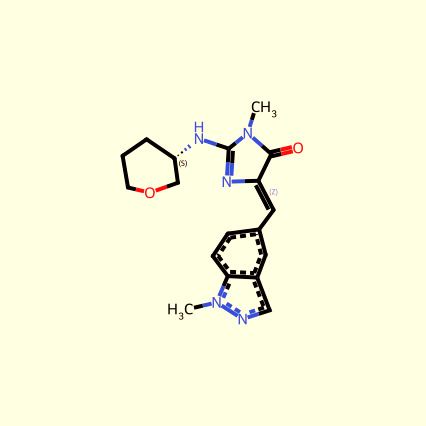 CN1C(=O)/C(=C/c2ccc3c(cnn3C)c2)N=C1N[C@H]1CCCOC1